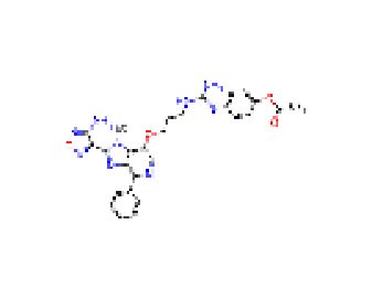 CCn1c(-c2nonc2N)nc2c(-c3ccccc3)ncc(OCCCNC(N)=Nc3ccc(OC(=O)C(F)(F)F)cc3)c21